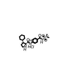 CN(C)S(=O)(=O)NC(=O)c1ccc(NC(=O)[C@H]2NCC[C@H]2C2CCCCC2)cc1.Cl